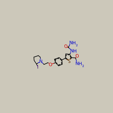 NC(=O)Nc1cc(-c2ccc(OCCN3CCCCC3I)cc2)sc1C(N)=O